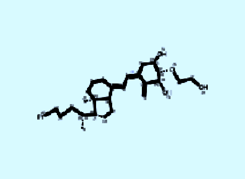 C=C1/C(=C\C=C2CCC[C@@]3(C)C2CC[C@@H]3[C@H](C)CCCC(C)C)C[C@@H](O)[C@H](OCCO)[C@H]1O